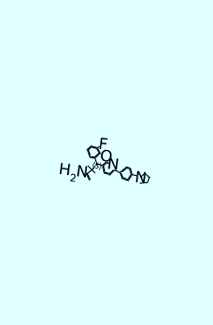 C=C(N)C(C)(C)[C@@H]1c2ccc(-c3ccc(N4CCCC4)cc3)nc2Oc2c(F)cccc21